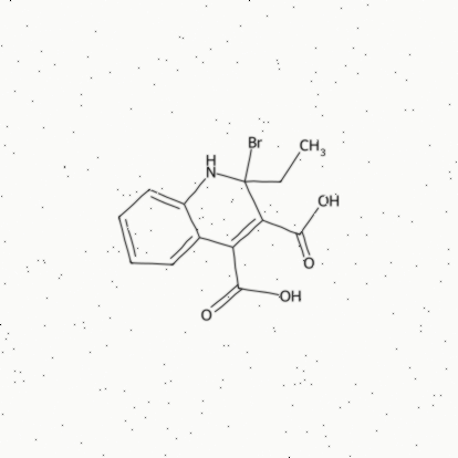 CCC1(Br)Nc2ccccc2C(C(=O)O)=C1C(=O)O